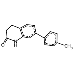 Cc1ccc(-c2ccc3c(c2)NC(=O)CC3)cc1